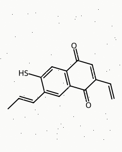 C=CC1=CC(=O)c2cc(S)c(/C=C/C)cc2C1=O